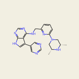 C[C@@H]1CN(c2cccc(CNc3ncnc4[nH]cc(-c5cncnc5)c34)n2)C[C@H](C)N1